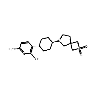 CC(C)c1nc(C(F)(F)F)ccc1[C@H]1CC[C@H](N2CCC3(C2)CS(=O)(=O)C3)CC1